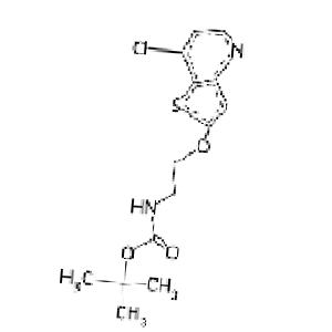 CC(C)(C)OC(=O)NCCOc1cc2nccc(Cl)c2s1